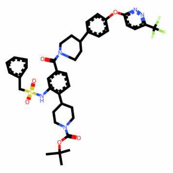 CC(C)(C)OC(=O)N1CCC(c2ccc(C(=O)N3CCC(c4ccc(Oc5ccc(C(F)(F)F)nn5)cc4)CC3)cc2NS(=O)(=O)Cc2ccccc2)CC1